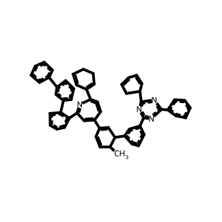 CC1C=CC(C2=CC(c3ccccc3-c3cccc(-c4ccccc4)c3)=NC(C3=CCCC=C3)=C=C2)=CC1c1cccc(-c2nc(-c3ccccc3)nc(C3C=CC=CC3)n2)c1